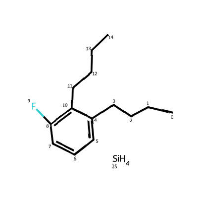 CCCCc1cccc(F)c1CCCC.[SiH4]